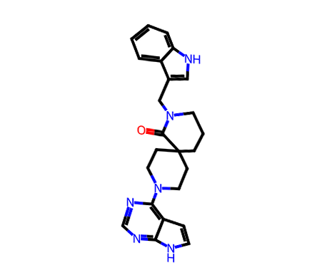 O=C1N(Cc2c[nH]c3ccccc23)CCCC12CCN(c1ncnc3[nH]ccc13)CC2